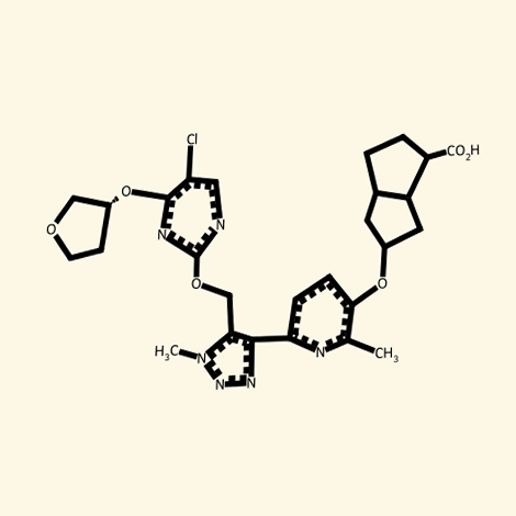 Cc1nc(-c2nnn(C)c2COc2ncc(Cl)c(O[C@@H]3CCOC3)n2)ccc1OC1CC2CCC(C(=O)O)C2C1